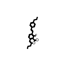 CCCc1ccc(/C=C/c2ccc3cc(CCC)oc(=O)c3c2F)cc1